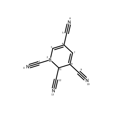 N#CB1C=C(C#N)C=C(C#N)C1C#N